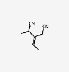 C/C=C(\CC#N)[C@@H](C)C#N